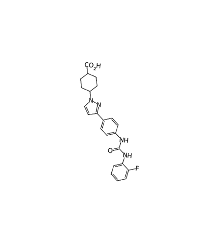 O=C(Nc1ccc(-c2ccn(C3CCC(C(=O)O)CC3)n2)cc1)Nc1ccccc1F